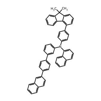 CC1(C)c2ccccc2-c2c(-c3ccc(N(c4cccc(-c5ccc(-c6ccc7ccccc7c6)cc5)c4)c4cccc5ccccc45)cc3)cccc21